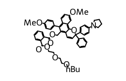 CCCCOCCOCCOC(=O)c1ccccc1C(=O)OCc1c2c(c3cc(OC)ccc3c1-c1ccc(OC)cc1)OC(c1ccccc1)(c1ccc(N3CCCC3)cc1)C=C2